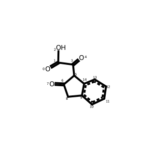 O=C(O)C(=O)C1C(=O)Cc2ccccc21